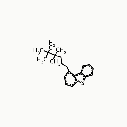 CC(C)(C)C(C)(C)CCCc1cccc2sc3ccccc3c12